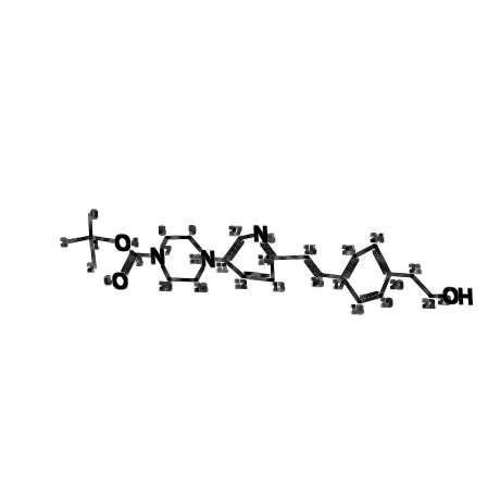 CC(C)(C)OC(=O)N1CCN(c2ccc(/C=C/c3ccc(CCO)cc3)nc2)CC1